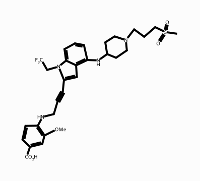 COc1cc(C(=O)O)ccc1NCC#Cc1cc2c(NC3CCN(CCCS(C)(=O)=O)CC3)cccc2n1CC(F)(F)F